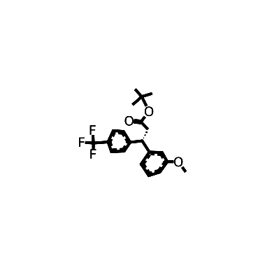 COc1cccc([C@@H](CC(=O)OC(C)(C)C)c2ccc(C(F)(F)F)cc2)c1